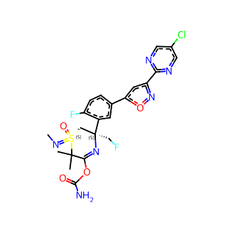 CN=[S@]1(=O)C[C@@](CF)(c2cc(-c3cc(-c4ncc(Cl)cn4)no3)ccc2F)N=C(OC(N)=O)C1(C)C